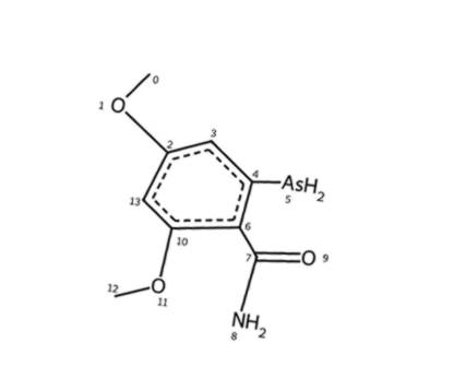 COc1cc([AsH2])c(C(N)=O)c(OC)c1